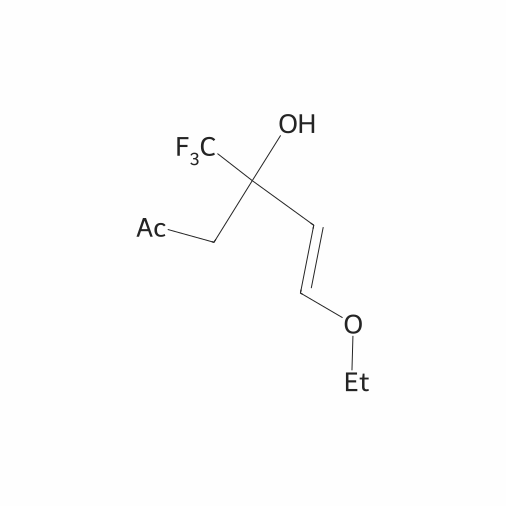 CCO/C=C/C(O)(CC(C)=O)C(F)(F)F